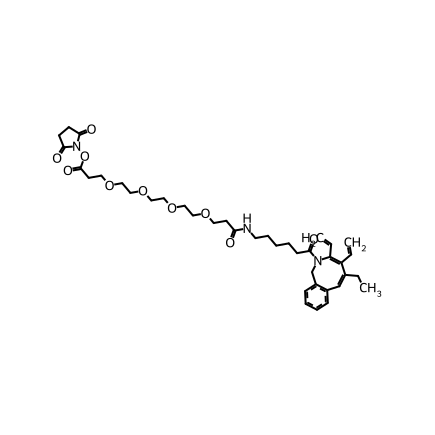 C=CC1=C(\C=C)N(C(=O)CCCCCNC(=O)CCOCCOCCOCCOCCC(=O)ON2C(=O)CCC2=O)Cc2ccccc2/C=C\1CC